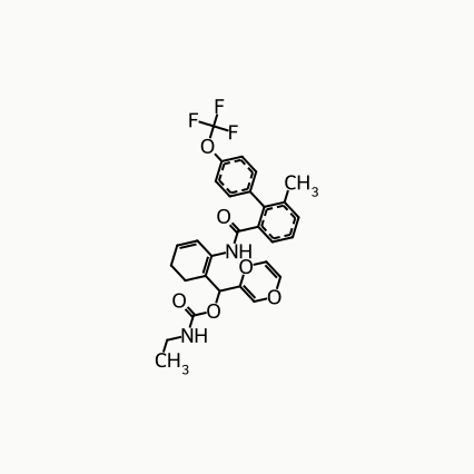 CCNC(=O)OC(C1=COC=CO1)C1=C(NC(=O)c2cccc(C)c2-c2ccc(OC(F)(F)F)cc2)C=CCC1